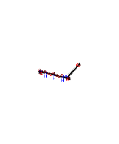 CC(C)(C)OC(=O)CCCCCCCCCCCCCCCCC(=O)NC(CCCCNC(=O)CCOCCOCCNC(=O)CCOCCOCCNC(=O)CCC(=O)ON1C(=O)CCC1=O)C(=O)OC(C)(C)C